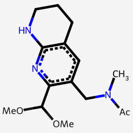 COC(OC)c1nc2c(cc1CN(C)C(C)=O)CCCN2